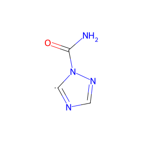 NC(=O)n1[c]ncn1